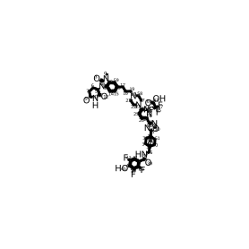 Cn1c(=O)n([C@@H]2CCC(=O)NC2=O)c2ccc(CCCN3CCN(c4ccc(-c5noc(C67CCC(CNC(=O)c8cc(F)c(O)c(F)c8F)(CC6)CC7)n5)nn4)CC3)cc21.O=C(O)C(F)(F)F